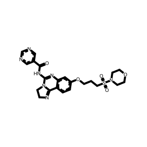 O=C(NC1=Nc2cc(OCCCS(=O)(=O)N3CCOCC3)ccc2C2=NCCN12)c1cncnc1